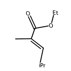 CCOC(=O)C(C)=CC(C)C